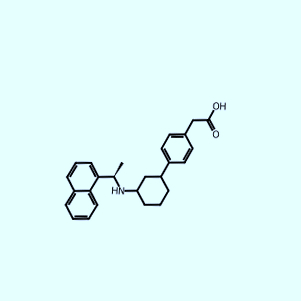 C[C@@H](NC1CCCC(c2ccc(CC(=O)O)cc2)C1)c1cccc2ccccc12